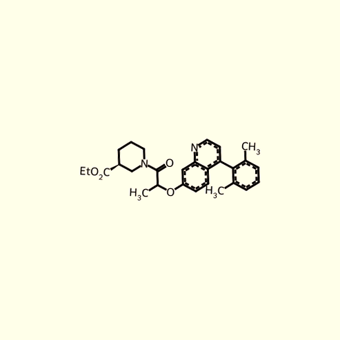 CCOC(=O)[C@H]1CCCN(C(=O)C(C)Oc2ccc3c(-c4c(C)cccc4C)ccnc3c2)C1